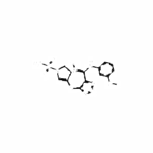 COc1cccc(N/C(=N\O)c2nonc2SC2=CN(S(N)(=O)=O)CC2)c1